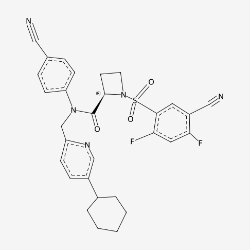 N#Cc1ccc(N(Cc2ccc(C3CCCCC3)cn2)C(=O)[C@H]2CCN2S(=O)(=O)c2cc(C#N)c(F)cc2F)cc1